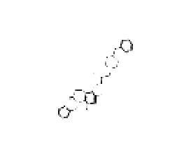 O=C1CCc2c(OCC(O)CN3CCC(Cc4ccccc4)CC3)c(Cl)cc(Cl)c2N1Cc1ccccc1